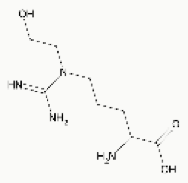 N=C(N)N(CCO)CCCC(N)C(=O)O